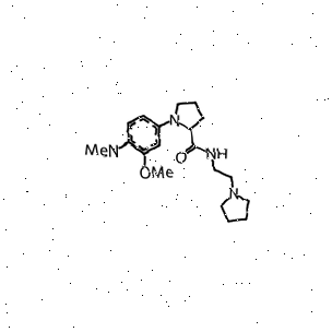 CNc1ccc(N2CCC[C@H]2C(=O)NCCN2CCCC2)cc1OC